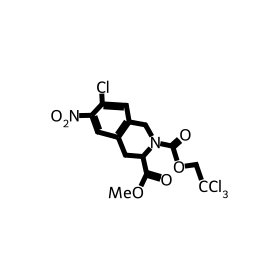 COC(=O)C1Cc2cc([N+](=O)[O-])c(Cl)cc2CN1C(=O)OCC(Cl)(Cl)Cl